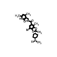 CCN(C)[C@H]1CC[C@H](C2(C)Oc3c(Br)cc(C(=O)NCc4c(C)cc(C)[nH]c4=O)c(C)c3O2)CC1